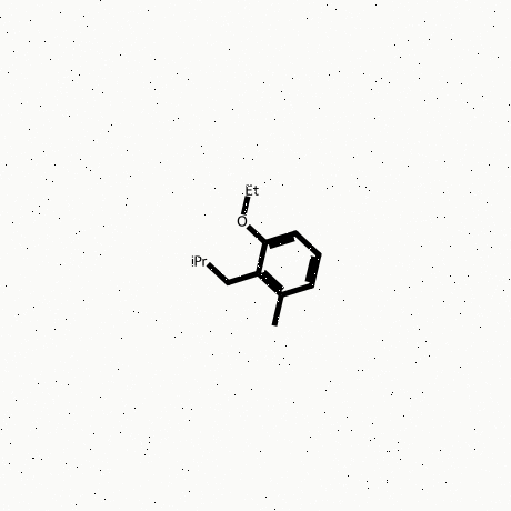 CCOc1cccc(C)c1CC(C)C